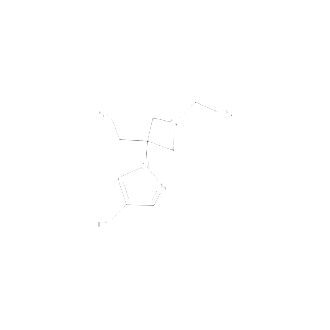 CC(C)c1cnn(C2(CC#N)CN(CC#N)C2)c1